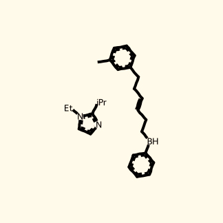 CCn1ccnc1C(C)C.Cc1cccc(CCC=CCCBc2ccccc2)c1